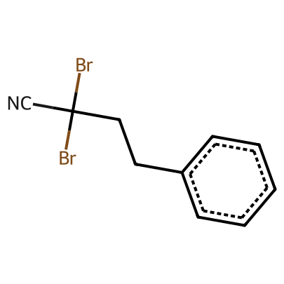 N#CC(Br)(Br)CCc1ccccc1